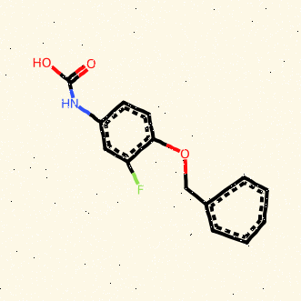 O=C(O)Nc1ccc(OCc2ccccc2)c(F)c1